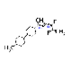 C=C(F)/C(F)=C\C=C(/C)C1CCC(C2CCC(C)CC2)CC1